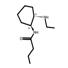 CCCC(=O)N[C@H]1CCCC[C@@H]1NCC